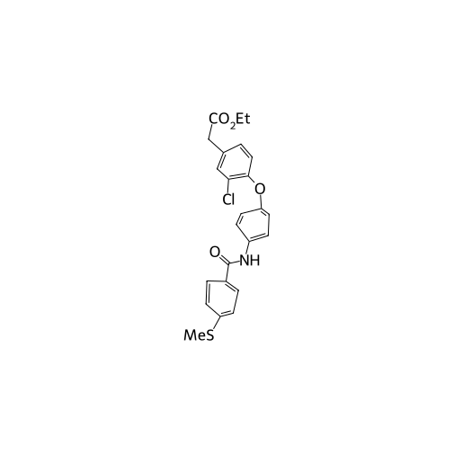 CCOC(=O)Cc1ccc(Oc2ccc(NC(=O)c3ccc(SC)cc3)cc2)c(Cl)c1